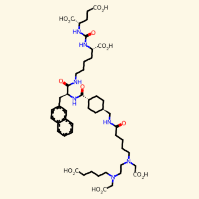 O=C(O)CCCCN(CCN(CCCCC(=O)NC[C@H]1CC[C@H](C(=O)N[C@@H](Cc2ccc3ccccc3c2)C(=O)NCCCC[C@H](NC(=O)N[C@@H](CCC(=O)O)C(=O)O)C(=O)O)CC1)CC(=O)O)CC(=O)O